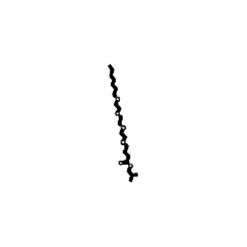 CCCCCCCOCCOCCOCCOCCCC(=O)OCC(C)C